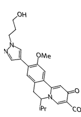 CCOC(=O)c1cn2c(cc1=O)-c1cc(OC)c(-c3cnn(CCCO)c3)cc1CC2C(C)C